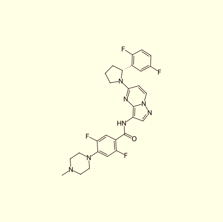 CN1CCN(c2cc(F)c(C(=O)Nc3cnn4ccc(N5CCC[C@@H]5c5cc(F)ccc5F)nc34)cc2F)CC1